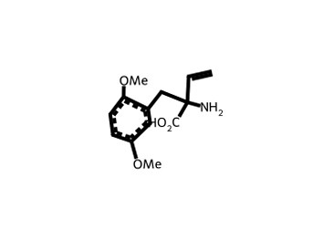 C=CC(N)(Cc1cc(OC)ccc1OC)C(=O)O